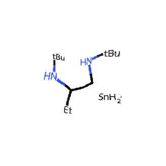 CCC(CNC(C)(C)C)NC(C)(C)C.[SnH2]